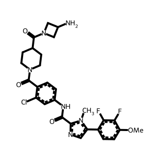 COc1ccc(-c2cnc(C(=O)Nc3ccc(C(=O)N4CCC(C(=O)N5CC(N)C5)CC4)c(Cl)c3)n2C)c(F)c1F